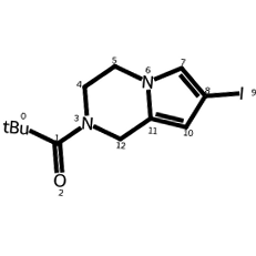 CC(C)(C)C(=O)N1CCn2cc(I)cc2C1